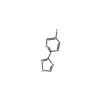 Fc1ccc(-c2ncon2)nc1